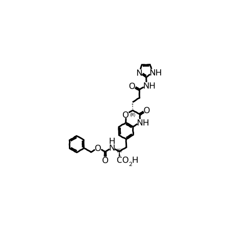 O=C(CC[C@H]1Oc2ccc(C[C@H](NC(=O)OCc3ccccc3)C(=O)O)cc2NC1=O)Nc1ncc[nH]1